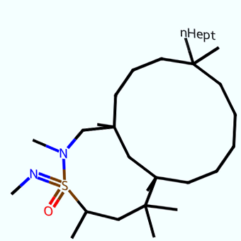 CCCCCCCC1(C)CCCCCC2(C)CC(C)(CCC1)CN(C)S(=O)(=NC)C(C)CC2(C)C